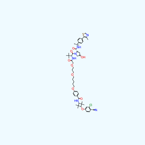 Cc1ncsc1-c1ccc([C@H](C)NC(=O)[C@@H]2C[C@@H](O)CN2C(=O)C(NC(=O)COCCCOCCCCCOc2ccc(C(=O)NC3C(C)(C)C(Oc4ccc(C#N)c(Cl)c4)C3(C)C)cc2)C(C)(C)C)cc1